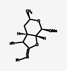 CCCC1/C(=N\C(C)C)O[C@H]2[C@H](OC)O[C@H](C)C[C@H]12